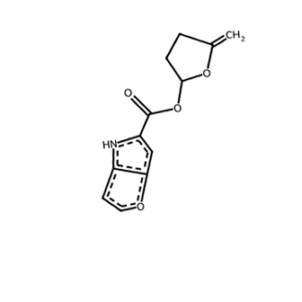 C=C1CCC(OC(=O)c2cc3occc3[nH]2)O1